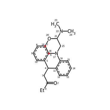 CCC(=O)CC(c1ccccc1)c1ccccc1N1CCOC(N(C)C)C1